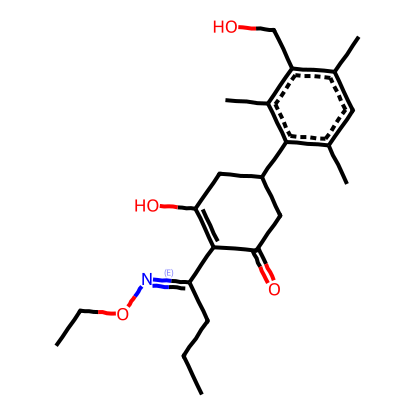 CCC/C(=N\OCC)C1=C(O)CC(c2c(C)cc(C)c(CO)c2C)CC1=O